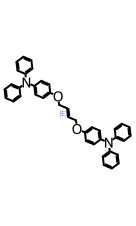 C(=C\COc1ccc(N(c2ccccc2)c2ccccc2)cc1)/COc1ccc(N(c2ccccc2)c2ccccc2)cc1